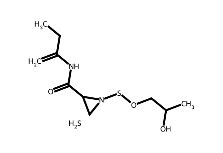 C=C(CC)NC(=O)C1CN1SOCC(C)O.S